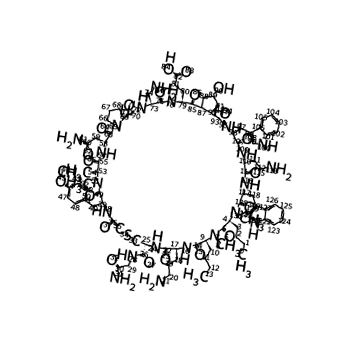 CCCC[C@H]1C(=O)N(C)[C@@H](CCCC)C(=O)N[C@@H](CCCN)C(=O)N[C@H](C(=O)NCC(N)=O)CSCC(=O)N[C@@H](Cc2ccc(OC)cc2)C(=O)N(C)[C@@H](C)C(=O)N[C@@H](CC(N)=O)C(=O)N2CCC[C@H]2C(=O)N[C@@H](CN)C(=O)N[C@@H](CCC(=O)O)C(=O)C2C[C@H](O)C[C@H]2C(=O)N[C@@H](Cc2c[nH]c3ccccc23)C(=O)N[C@@H](CCN)C(=O)N[C@@H](Cc2c[nH]c3ccccc23)C(=O)N1C